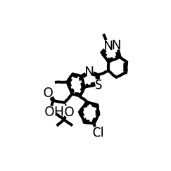 Cc1cc2nc(C3CC=Cc4nn(C)cc43)sc2c(-c2ccc(Cl)cc2)c1[C@H](OC(C)(C)C)C(=O)O